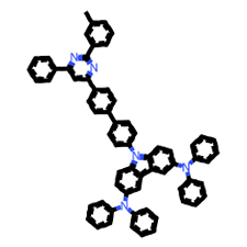 Cc1cccc(-c2nc(-c3ccccc3)cc(-c3ccc(-c4ccc(-n5c6ccc(N(c7ccccc7)c7ccccc7)cc6c6cc(N(c7ccccc7)c7ccccc7)ccc65)cc4)cc3)n2)c1